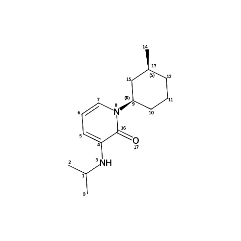 CC(C)Nc1cccn([C@@H]2CCC[C@H](C)C2)c1=O